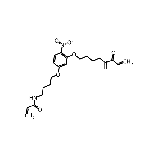 C=CC(=O)NCCCCOc1ccc([N+](=O)[O-])c(OCCCCNC(=O)C=C)c1